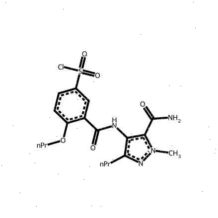 CCCOc1ccc(S(=O)(=O)Cl)cc1C(=O)Nc1c(CCC)nn(C)c1C(N)=O